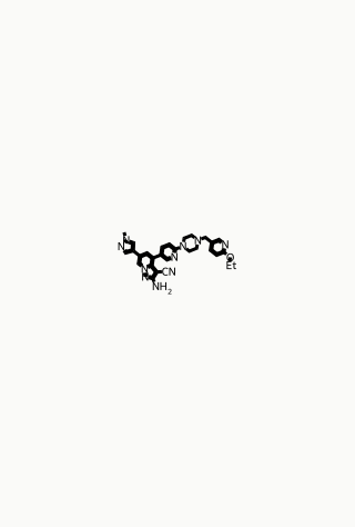 CCOc1ccc(CN2CCN(c3ccc(-c4cc(-c5cnn(C)c5)cn5nc(N)c(C#N)c45)cn3)CC2)cn1